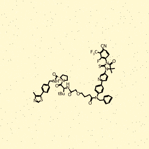 Cc1ncsc1-c1ccc(CNC(=O)[C@@H]2CCCN2C(=O)C(NC(=O)COCCCC(=O)N(Cc2ccccc2)c2ccc(-c3ccc(N4C(=S)N(c5ccc(C#N)c(C(F)(F)F)c5F)C(=O)C4(C)C)cn3)cc2)C(C)(C)C)cc1